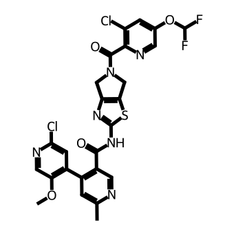 COc1cnc(Cl)cc1-c1cc(C)ncc1C(=O)Nc1nc2c(s1)CN(C(=O)c1ncc(OC(F)F)cc1Cl)C2